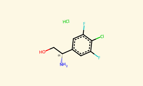 Cl.N[C@H](CO)c1cc(F)c(Cl)c(F)c1